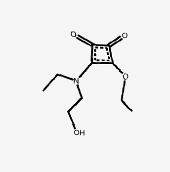 CCOc1c(N(CC)CCO)c(=O)c1=O